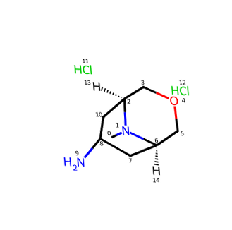 CN1[C@@H]2COC[C@H]1CC(N)C2.Cl.Cl